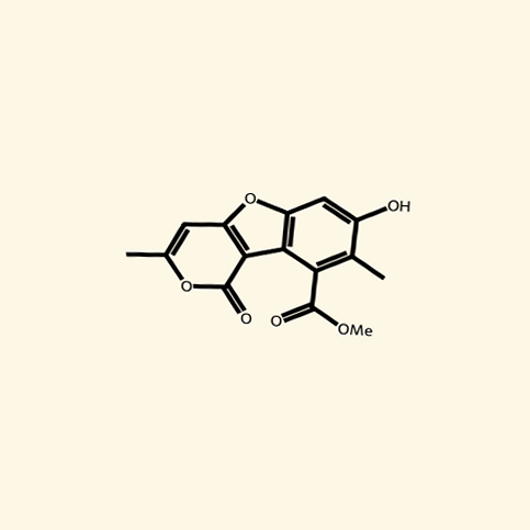 COC(=O)c1c(C)c(O)cc2oc3cc(C)oc(=O)c3c12